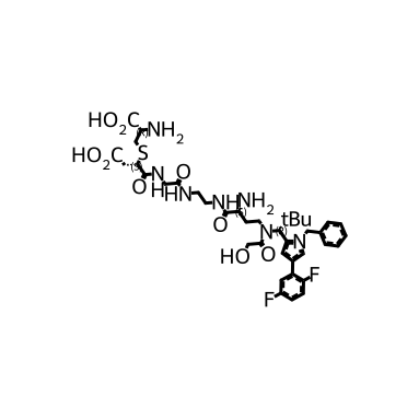 CC(C)(C)[C@H](c1cc(-c2cc(F)ccc2F)cn1Cc1ccccc1)N(CC[C@H](N)C(=O)NCCNC(=O)CNC(=O)[C@H](CC(=O)O)SC[C@H](N)C(=O)O)C(=O)CO